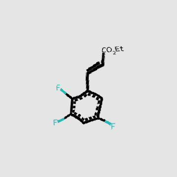 CCOC(=O)/C=C/c1cc(F)cc(F)c1F